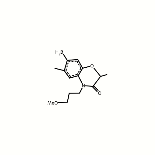 Bc1cc2c(cc1C)N(CCCOC)C(=O)C(C)O2